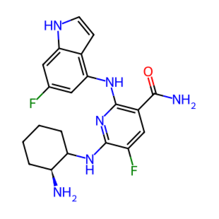 NC(=O)c1cc(F)c(NC2CCCC[C@@H]2N)nc1Nc1cc(F)cc2[nH]ccc12